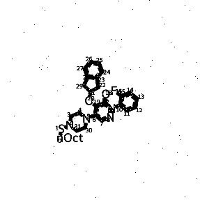 CCCCCCCCSN1CCN(c2cnn(-c3ccccc3F)c(=O)c2OC2Cc3ccccc3C2)CC1